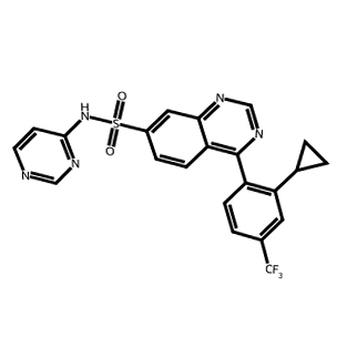 O=S(=O)(Nc1ccncn1)c1ccc2c(-c3ccc(C(F)(F)F)cc3C3CC3)ncnc2c1